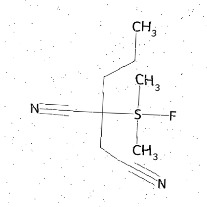 CCCC(C#N)(CC#N)S(C)(C)F